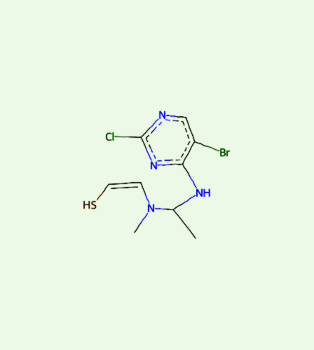 CC(Nc1nc(Cl)ncc1Br)N(C)/C=C\S